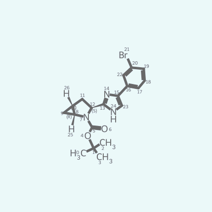 CC(C)(C)OC(=O)N1[C@@H]2C[C@@H]2C[C@H]1c1nc(-c2cccc(Br)c2)c[nH]1